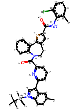 Cc1ccc2c(c1)c(-c1cccc(C(=O)N3CCc4cc(C(=O)Nc5c(C)cccc5F)sc4-c4ccccc43)n1)cn2[Si](C)(C)C(C)(C)C